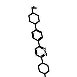 CCCCC1CCC(c2ccc(-c3ccc(C4CCC(CCC)CC4)nn3)cc2)CC1